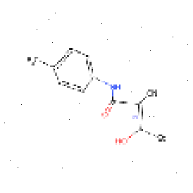 CC/C(O)=C(\C#N)C(=O)Nc1ccc(C(F)(F)F)cc1